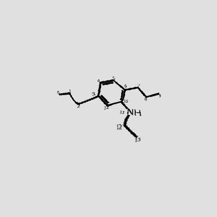 CCCc1ccc(CCC)c(NCC)c1